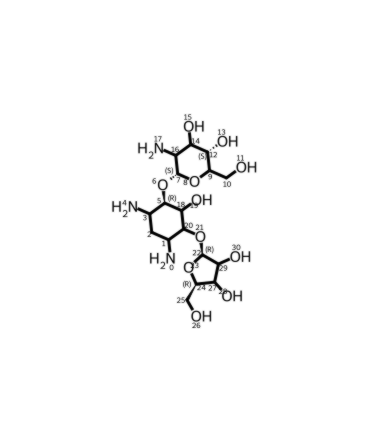 NC1CC(N)[C@@H](O[C@H]2OC(CO)[C@@H](O)C(O)C2N)C(O)C1O[C@@H]1O[C@H](CO)C(O)C1O